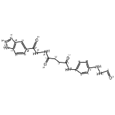 O=CNNc1ccc(NC(=O)CCC(=O)NNC(=O)c2ccc3[nH]nnc3c2)cc1